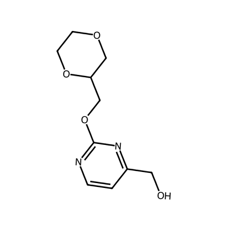 OCc1ccnc(OCC2COCCO2)n1